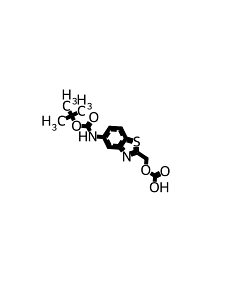 CC(C)(C)OC(=O)Nc1ccc2sc(COC(=O)O)nc2c1